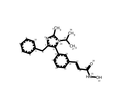 Cc1nc(Cc2ccccc2)c(-c2cccc(C=CC(=O)NO)c2)n1C(C)C